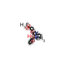 COC(=O)c1cccc(Oc2ccc(C3C=CC=CC3(C)NCC(O)c3cc4ccccc4o3)cc2)c1